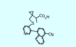 CC(C(=O)O)C1(CSc2ccncc2-c2ccc(C#N)c3ccccc23)CC1